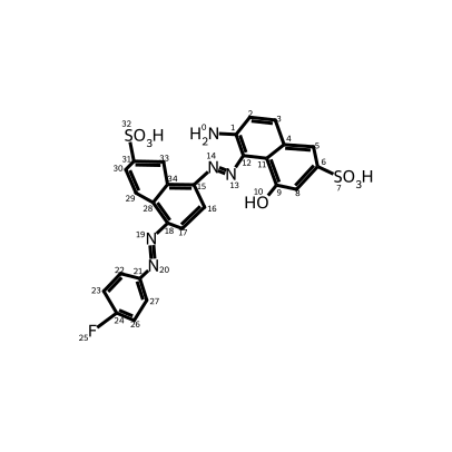 Nc1ccc2cc(S(=O)(=O)O)cc(O)c2c1N=Nc1ccc(N=Nc2ccc(F)cc2)c2ccc(S(=O)(=O)O)cc12